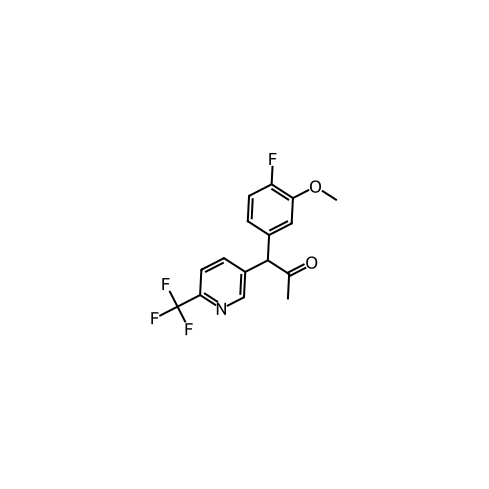 COc1cc(C(C(C)=O)c2ccc(C(F)(F)F)nc2)ccc1F